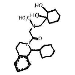 O=C(O)N(CC(=O)N1CCc2ccccc2C1C1CCCCC1)CC1(O)CCCCC1O